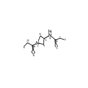 CCC(=O)NC1CN(C(=O)CC)C1